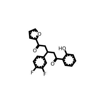 O=C(CC(CC(=O)c1ccccc1O)c1ccc(F)c(F)c1)c1ccco1